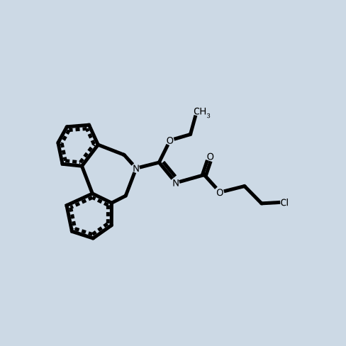 CCOC(=NC(=O)OCCCl)N1Cc2ccccc2-c2ccccc2C1